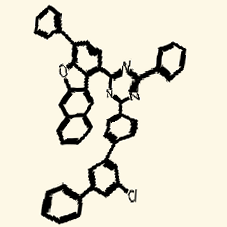 Clc1cc(-c2ccccc2)cc(-c2ccc(-c3nc(-c4ccccc4)nc(-c4ccc(-c5ccccc5)c5oc6cc7ccccc7cc6c45)n3)cc2)c1